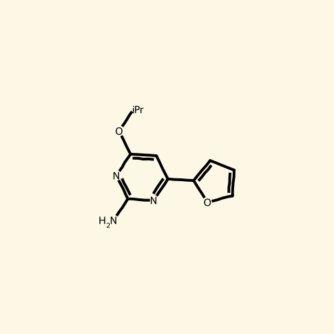 CC(C)Oc1cc(-c2ccco2)nc(N)n1